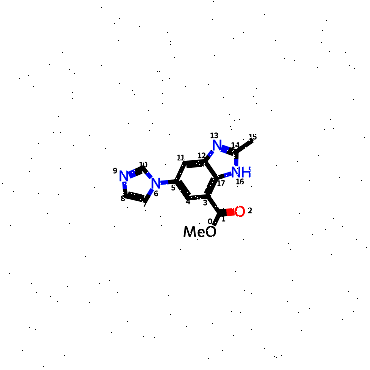 COC(=O)c1cc(-n2ccnc2)cc2nc(C)[nH]c12